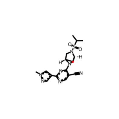 CC(C)S(=O)(=O)N1C[C@@H]2C[C@@H]1CN2c1nc(-c2cnn(C)c2)ncc1C#N